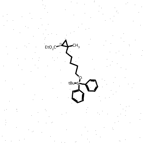 CCOC(=O)[C@H]1CC1(C)CCCCCO[Si](c1ccccc1)(c1ccccc1)C(C)(C)C